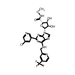 CONC(=O)[C@H]1O[C@@H](n2cnc3c(NCc4cc(C(F)(F)F)ccn4)nc(-c4cncc(Cl)c4)nc32)[C@H](O)[C@@H]1O